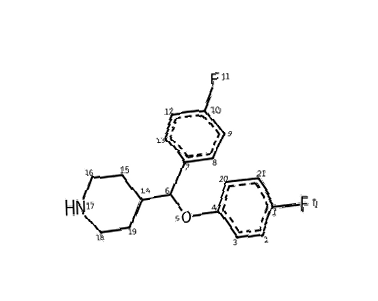 Fc1ccc(OC(c2ccc(F)cc2)C2CCNCC2)cc1